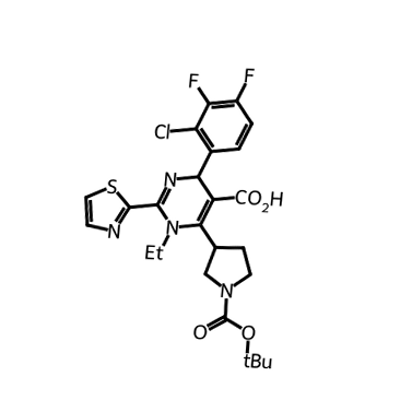 CCN1C(c2nccs2)=NC(c2ccc(F)c(F)c2Cl)C(C(=O)O)=C1C1CCN(C(=O)OC(C)(C)C)C1